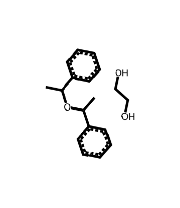 CC(OC(C)c1ccccc1)c1ccccc1.OCCO